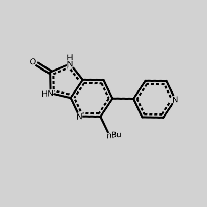 CCCCc1nc2[nH]c(=O)[nH]c2cc1-c1ccncc1